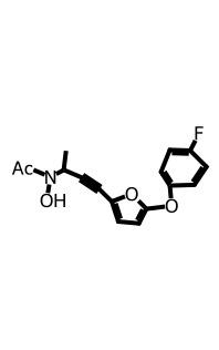 CC(=O)N(O)C(C)C#Cc1ccc(Oc2ccc(F)cc2)o1